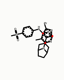 Cc1c(Nc2ccc(S(C)(=O)=O)cc2)ncnc1N1C2CCC1CC(c1nc(C(C)C)no1)C2